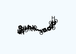 Cc1cc(-c2noc(CCCCC(=O)N3CCN(c4ccc5c(c4)CN(C4CCC(=O)NC4=O)C5=O)CC3)n2)ncc1NC(=O)Nc1cnc2ccnn2c1C1CCCC1